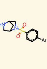 CC(=O)c1ccc(S(=O)(=O)N2CC3CC2CN3)cc1